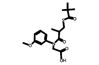 COc1cccc(N(CC(=O)O)C(=O)C(C)CSC(=O)C(C)(C)C)c1